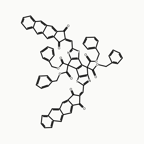 O=C1C(=Cc2nc3c(s2)C2=C(c4sc(C=C5C(=O)c6cc7cc8ccccc8cc7cc6C5=O)nc4C2(C(=O)OCc2ccccc2)C(=O)OCc2ccccc2)C3(C(=O)OCc2ccccc2)C(=O)OCc2ccccc2)C(=O)c2cc3cc4ccccc4cc3cc21